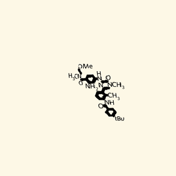 COCCN(C)C(=O)c1ccc(Nc2nc(-c3cccc(NC(=O)c4ccc(C(C)(C)C)cc4)c3C)cn(C)c2=O)cc1N